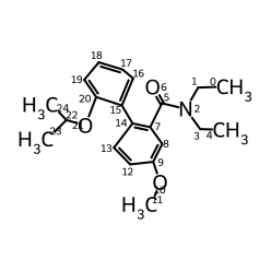 CCN(CC)C(=O)c1cc(OC)ccc1-c1ccccc1OC(C)C